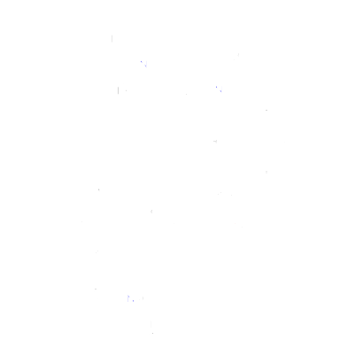 CN(C)CCN(C)c1cccc(C(=O)/C=C/c2ccccc2CN(C)C)c1